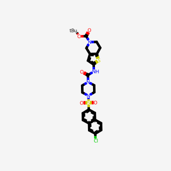 CC(C)(C)OC(=O)N1CCc2sc(NC(=O)N3CCN(S(=O)(=O)c4ccc5cc(Cl)ccc5c4)CC3)cc2C1